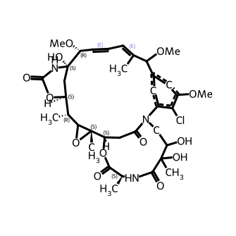 COc1cc2cc(c1Cl)N1CC(O)C(C)(O)C(=O)N[C@@H](C)C(=O)O[C@@H](CC1=O)[C@]1(C)OC1[C@H](C)[C@@H]1C[C@@](O)(NC(=O)O1)[C@H](OC)/C=C/C=C(\C)C2OC